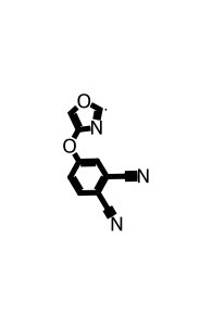 N#Cc1ccc(Oc2co[c]n2)cc1C#N